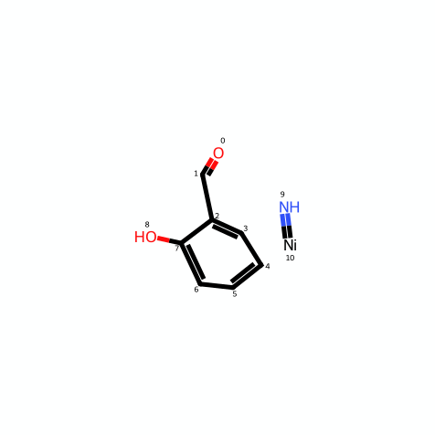 O=Cc1ccccc1O.[NH]=[Ni]